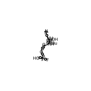 Cc1ncsc1-c1ccc(CNC(=O)[C@@H]2C[C@@H](O)CN2C(=O)C(NC(=O)CCCC(=O)N2CCN(CCOc3ccc(Oc4c(-c5ccc(F)cc5)sc5cc(O)ccc45)cc3)[C@@H](C)C2)C(C)(C)C)cc1